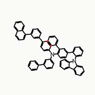 c1ccc(-c2cccc(N(c3ccc(-c4cccc(-c5cccc6ccccc56)c4)cc3)c3ccc(-c4ccccc4-n4c5ccccc5c5ccccc54)cc3-c3ccccc3)c2)cc1